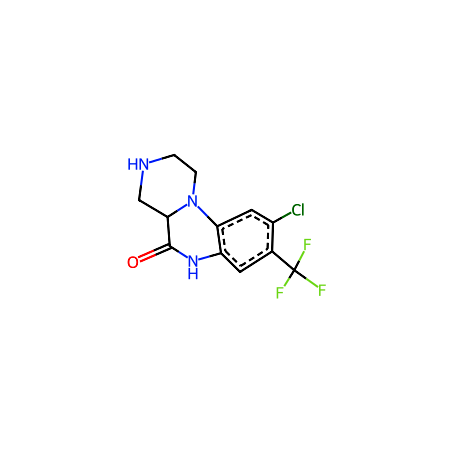 O=C1Nc2cc(C(F)(F)F)c(Cl)cc2N2CCNCC12